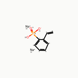 C=Cc1ccccc1P(=O)([O-])[O-].[Na+].[Na+]